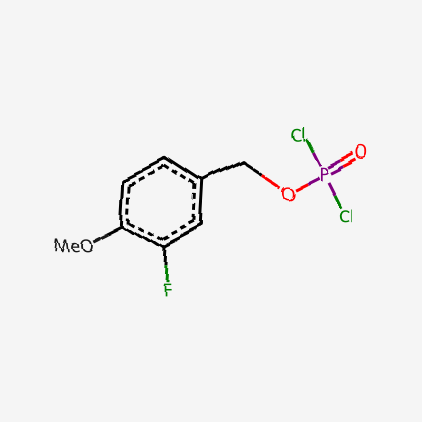 COc1ccc(COP(=O)(Cl)Cl)cc1F